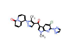 Cn1cc(C(=O)c2cnn(-c3cccn4c(=O)cccc34)c2C(F)(F)F)c2cc(Cl)c(-n3nccn3)nc21